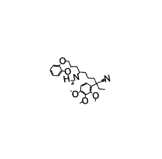 CCC(C#N)(CCCC(N)CC1COc2ccccc2O1)c1ccc(OC)c(OC)c1OC